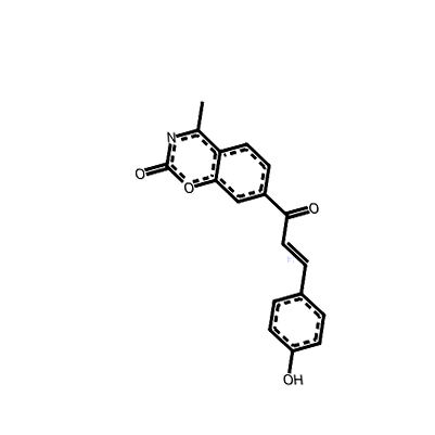 Cc1nc(=O)oc2cc(C(=O)/C=C/c3ccc(O)cc3)ccc12